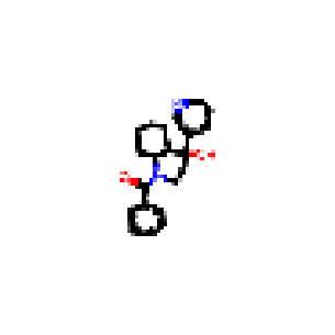 O=C(c1ccccc1)N1CCC(O)(c2cccnc2)C2CCCCC21